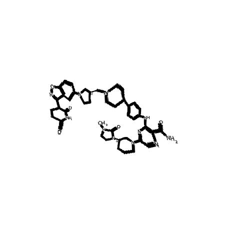 CN1CCN([C@@H]2CCCN(c3cnc(C(N)=O)c(Nc4ccc(C5CCN(C[C@H]6CCN(c7ccc8onc(C9CCC(=O)NC9=O)c8c7)C6)CC5)cc4)n3)C2)C1=O